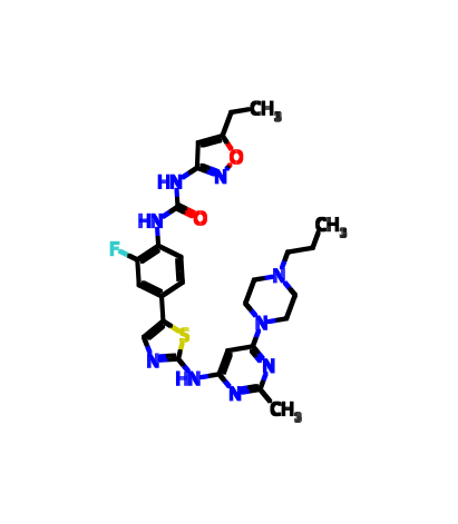 CCCN1CCN(c2cc(Nc3ncc(-c4ccc(NC(=O)Nc5cc(CC)on5)c(F)c4)s3)nc(C)n2)CC1